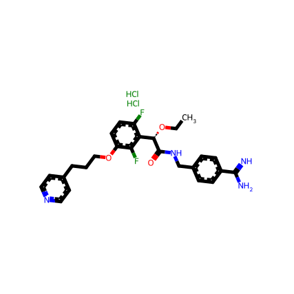 CCO[C@H](C(=O)NCc1ccc(C(=N)N)cc1)c1c(F)ccc(OCCCc2ccncc2)c1F.Cl.Cl